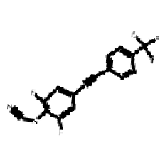 N#CSc1c(F)cc(C#Cc2ccc(C(F)(F)F)cc2)cc1F